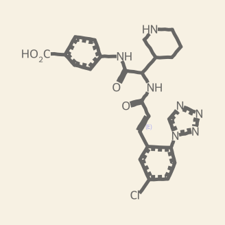 O=C(/C=C/c1cc(Cl)ccc1-n1cnnn1)NC(C(=O)Nc1ccc(C(=O)O)cc1)C1CCCNC1